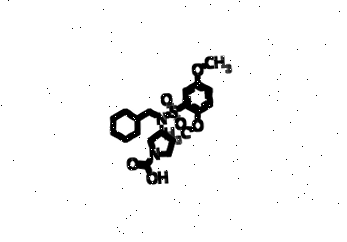 COc1ccc(OC)c(S(=O)(=O)N(CC2CCCCC2)[C@@H]2CCN(C(=O)O)C2)c1